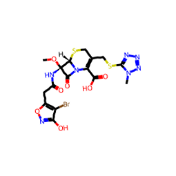 CO[C@@]1(NC(=O)Cc2onc(O)c2Br)C(=O)N2C(C(=O)O)=C(CSc3nnnn3C)CS[C@H]21